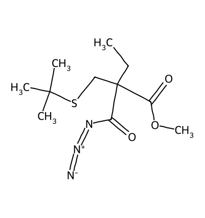 CCC(CSC(C)(C)C)(C(=O)N=[N+]=[N-])C(=O)OC